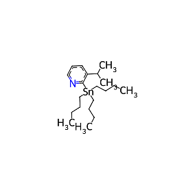 CCC[CH2][Sn]([CH2]CCC)([CH2]CCC)[c]1ncccc1C(C)C